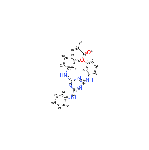 C=C(C)C(=O)Oc1cccc(Nc2nc(Nc3ccccc3)nc(Nc3ccccc3)n2)c1